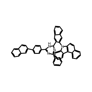 c1ccc(C2=NC(c3cc4ccccc4cc3-n3c4ccccc4c4c5ccccc5ccc43)NC(c3ccc(-c4ccc5ccccc5c4)cc3)=N2)cc1